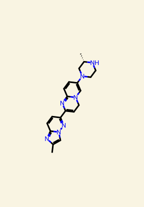 Cc1cn2nc(C3=CCN4C=C(N5CCN[C@@H](C)C5)C=CC4=N3)ccc2n1